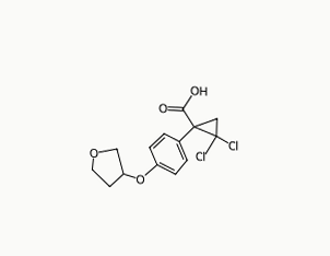 O=C(O)C1(c2ccc(OC3CCOC3)cc2)CC1(Cl)Cl